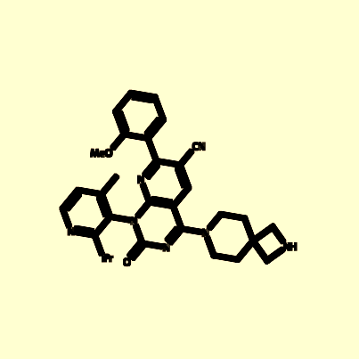 COc1ccccc1-c1nc2c(cc1C#N)c(N1CCC3(CC1)CNC3)nc(=O)n2-c1c(C)ccnc1C(C)C